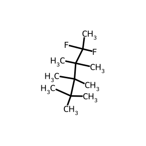 CC(C)(C)C(C)(C)C(C)(C)C(C)(F)F